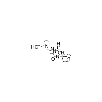 CC(C)n1nc(CN2CCCCC2CCO)cc1C(=O)NCC12CC3CC4CC(C1)C4(C3)C2